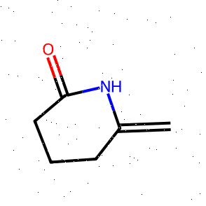 C=C1CCCC(=O)N1